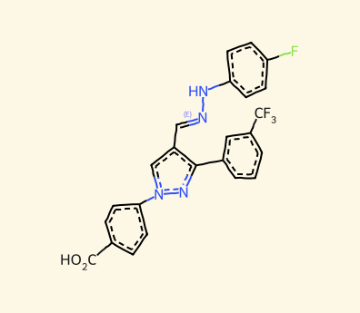 O=C(O)c1ccc(-n2cc(/C=N/Nc3ccc(F)cc3)c(-c3cccc(C(F)(F)F)c3)n2)cc1